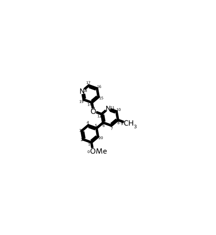 COc1cccc(-c2cc(C)cnc2Oc2cccnc2)c1